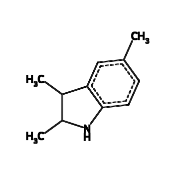 Cc1ccc2c(c1)C(C)C(C)N2